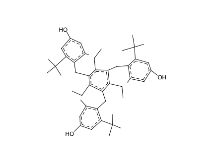 CCc1c(Cc2c(C)cc(O)cc2C(C)(C)C)c(CC)c(Cc2c(C)cc(O)cc2C(C)(C)C)c(CC)c1Cc1c(C)cc(O)cc1C(C)(C)C